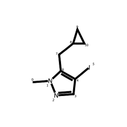 Cn1ncc(I)c1CC1CC1